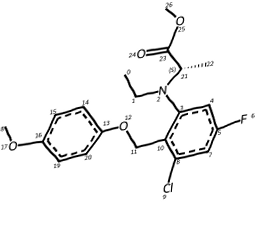 CCN(c1cc(F)cc(Cl)c1COc1ccc(OC)cc1)[C@@H](C)C(=O)OC